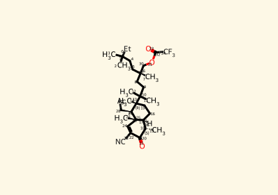 CCC(C)(C)CC[C@@](C)(CCC(C)(C)[C@]1(C)CC[C@H]2[C@H](C)C(=O)C(C#N)=C[C@]2(C)[C@H]1CC(C)=O)COC(=O)C(F)(F)F